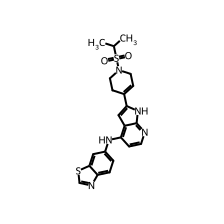 CC(C)S(=O)(=O)N1CC=C(c2cc3c(Nc4ccc5ncsc5c4)ccnc3[nH]2)CC1